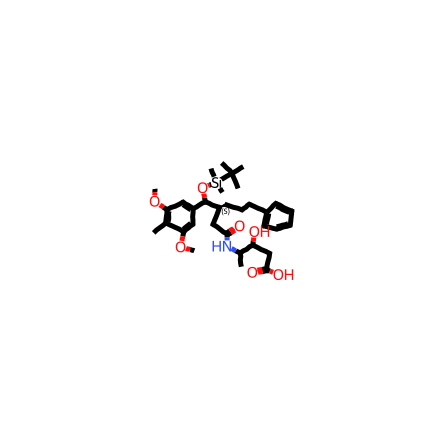 COc1cc(C(O[Si](C)(C)C(C)(C)C)[C@@H](CCCc2ccccc2)CC(=O)NC(C)C(O)CC(=O)O)cc(OC)c1C